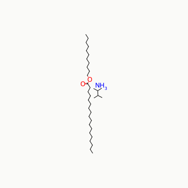 CC(C)C(C)C.CCCCCCCCCCCCCCCCCC(=O)OCCCCCCCCCCC.N